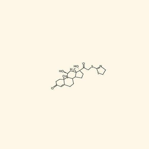 CC12CCC(=O)C=C1CCC1C2[C@@H](O)CC2(C)C1CC[C@]2(O)C(=O)CSC1=NCCS1